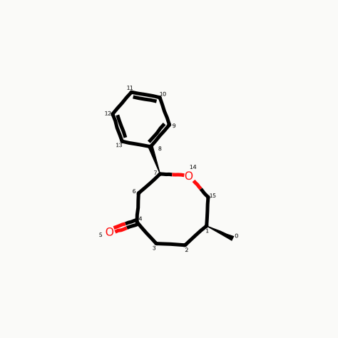 C[C@H]1CCC(=O)C[C@@H](c2ccccc2)OC1